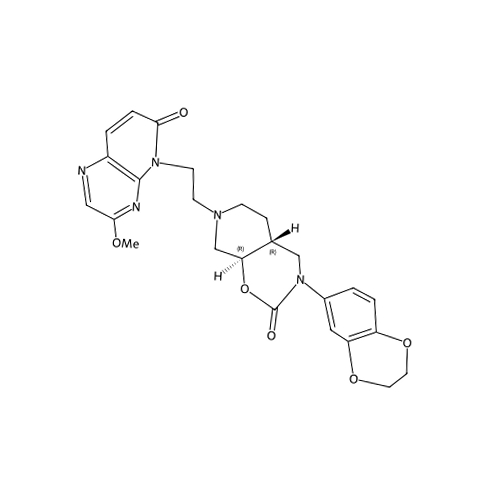 COc1cnc2ccc(=O)n(CCN3CC[C@@H]4CN(c5ccc6c(c5)OCCO6)C(=O)O[C@H]4C3)c2n1